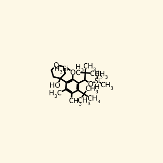 Cc1c(C)c(C2(O)CCOCC2)c(O[SiH3])c(C(O[SiH](C)C)C(C)(C)C)c1C(C)(C)C